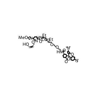 CCOC(=O)[C@](CC)(CCOCCOCCOCCNC(=O)c1ccc2c(c1)C1(OC2=O)c2ccc(N(C)C)cc2Oc2cc(N(C)C)ccc21)NC(=O)c1ccc(N2CC(OC)C2)c(OC[C@H]2C[C@@H]2CO)n1